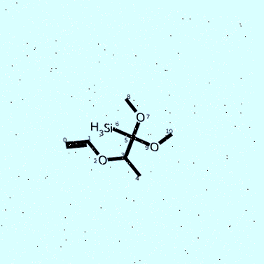 C=COC(C)C([SiH3])(OC)OC